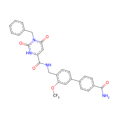 NC(=O)c1ccc(-c2ccc(CNC(=O)c3cc(=O)n(Cc4ccccc4)c(=O)[nH]3)c(OC(F)(F)F)c2)cc1